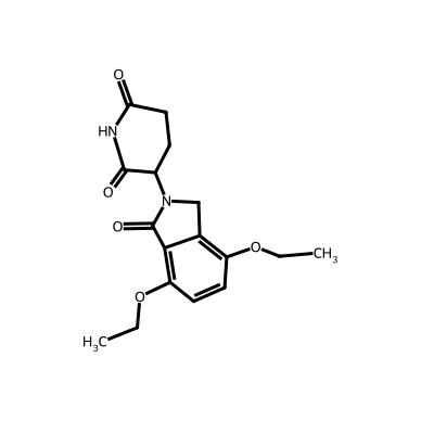 CCOc1ccc(OCC)c2c1CN(C1CCC(=O)NC1=O)C2=O